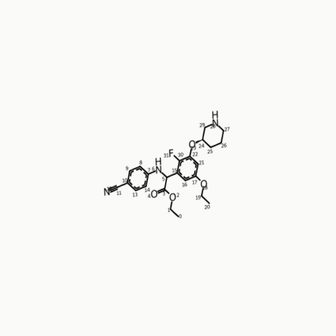 CCOC(=O)C(Nc1ccc(C#N)cc1)c1cc(OCC)cc(O[C@@H]2CCCNC2)c1F